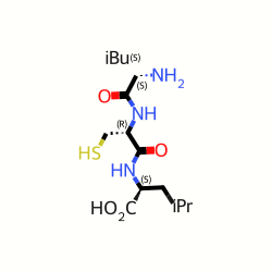 CC[C@H](C)[C@H](N)C(=O)N[C@@H](CS)C(=O)N[C@@H](CC(C)C)C(=O)O